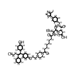 Cc1ncsc1-c1ccc(CNC(=O)[C@@H]2C[C@@H](O)CN2C(=O)[C@@H](NC(=O)CCCCCCC(=O)N2CCN(CCOc3ccc(C(=C(CCCl)c4ccccc4)c4ccc(O)cc4)cc3)CC2)C(C)(C)C)cc1